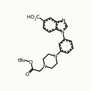 CC(C)(C)OC(=O)CN1CCN(c2cccc(-n3cnc4cc(C(=O)O)ccc43)c2)CC1